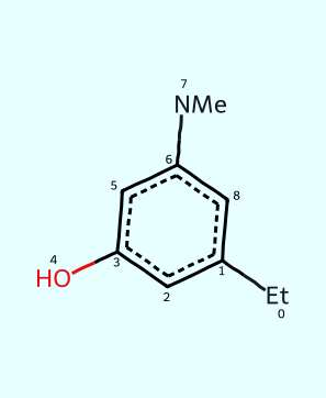 CCc1cc(O)cc(NC)c1